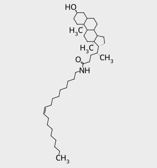 CCCCCCCC/C=C\CCCCCCCCNC(=O)CC[C@@H](C)[C@H]1CCC2C3CCC4C[C@H](O)CC[C@]4(C)C3CC[C@@]21C